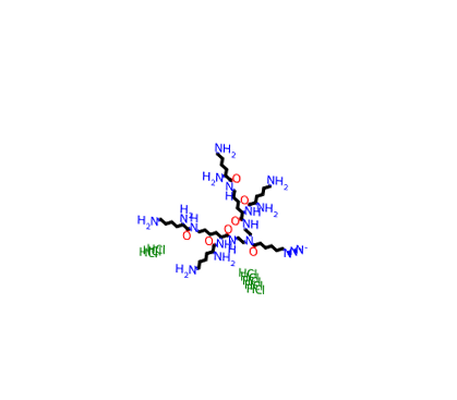 Cl.Cl.Cl.Cl.Cl.Cl.Cl.Cl.[N-]=[N+]=NCCCCCC(=O)N(CCNC(=O)C(CCCCNC(=O)C(N)CCCCN)NC(=O)C(N)CCCCN)CCNC(=O)C(CCCCNC(=O)C(N)CCCCN)NC(=O)C(N)CCCCN